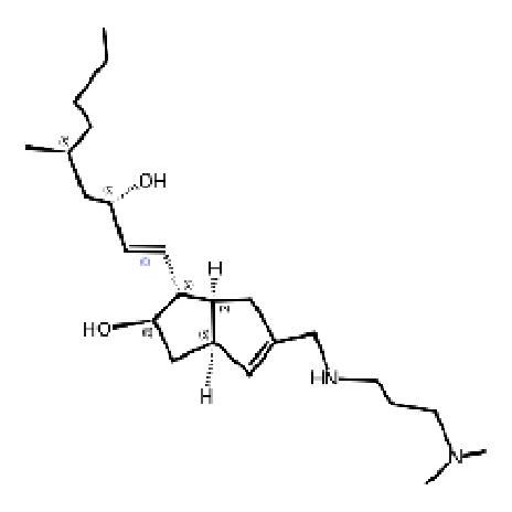 CCCC[C@H](C)C[C@H](O)/C=C/[C@@H]1[C@H]2CC(CNCCCN(C)C)=C[C@H]2C[C@H]1O